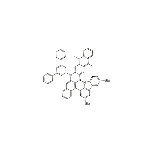 Cc1c2ccccc2c(C)c2cc3c(cc12)B1c2c(cc4ccccc4c2-c2cc(C(C)(C)C)cc4c5cc(C(C)(C)C)ccc5n1c24)N3c1cc(-c2ccccc2)cc(-c2ccccc2)c1